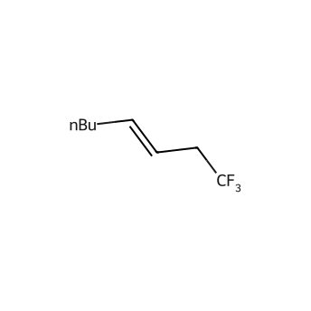 [CH2]CCC/C=C/CC(F)(F)F